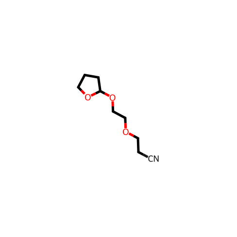 N#CCCOCCOC1CCCO1